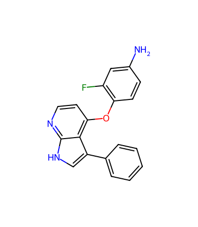 Nc1ccc(Oc2ccnc3[nH]cc(-c4ccccc4)c23)c(F)c1